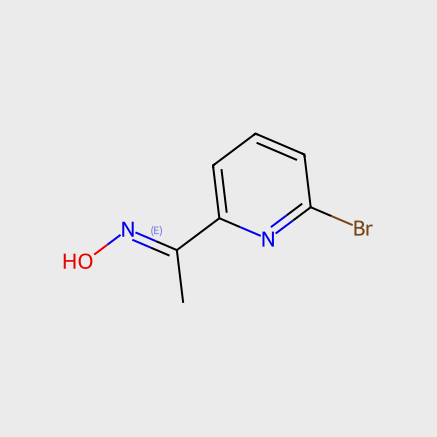 C/C(=N\O)c1cccc(Br)n1